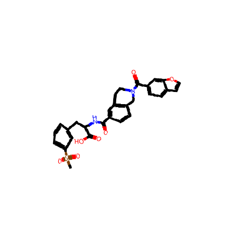 CS(=O)(=O)c1cccc(CC(NC(=O)c2ccc3c(c2)CCN(C(=O)c2ccc4ccoc4c2)C3)C(=O)O)c1